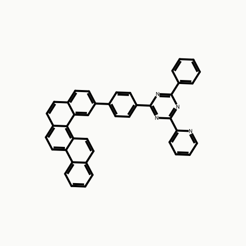 c1ccc(-c2nc(-c3ccc(-c4ccc5ccc6ccc7c8ccccc8ccc7c6c5c4)cc3)nc(-c3ccccn3)n2)cc1